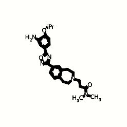 CC(C)Oc1ccc(-c2nc(-c3ccc4c(c3)CCN(CCC(=O)N(C)C)CC4)no2)cc1N